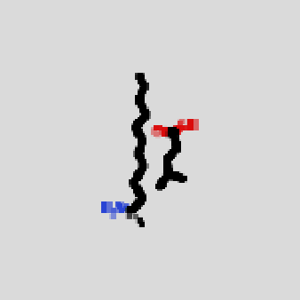 CC(C)CCC(=O)O.CCCCCCCCCC[C@H](C)N